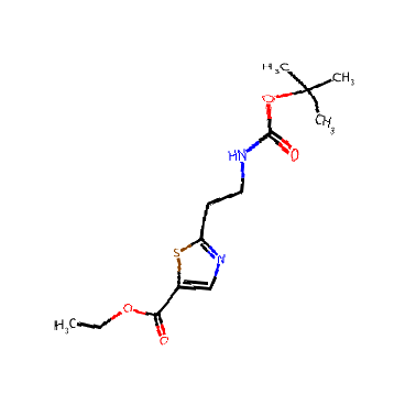 CCOC(=O)c1cnc(CCNC(=O)OC(C)(C)C)s1